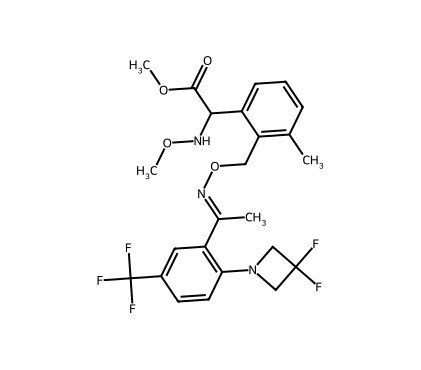 CONC(C(=O)OC)c1cccc(C)c1CO/N=C(\C)c1cc(C(F)(F)F)ccc1N1CC(F)(F)C1